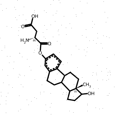 C[C@]12CCC3c4ccc(OC(=O)[C@H](N)CC(=O)O)cc4CCC3C1CCC2O